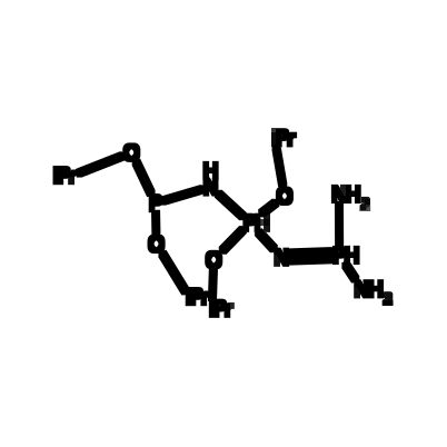 CC(C)OP(N[PH](N=[PH](N)N)(OC(C)C)OC(C)C)OC(C)C